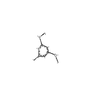 COc1cc(C)nc(OC)c1